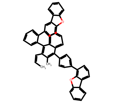 C/C=C\c1c(C)c(-c2ccc(-c3cccc4c3oc3ccccc34)cc2)c2ccccc2c1-c1ccccc1-c1ccc2oc3ccccc3c2c1